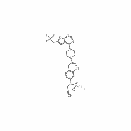 C#CCN(c1ccc(CC(=O)N2CCN(c3ncnc4sc(CC(F)(F)F)cc34)CC2)c(Cl)c1)S(C)(=O)=O